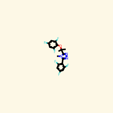 Cn1c(-c2c(F)cc(F)cc2F)nnc1C(C)(C)Oc1c(F)cc(F)cc1F